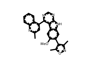 COc1cc2c(cc1-c1c(C)noc1C)[nH]c1ncnc(-c3cc(C)nc4ccccc34)c12